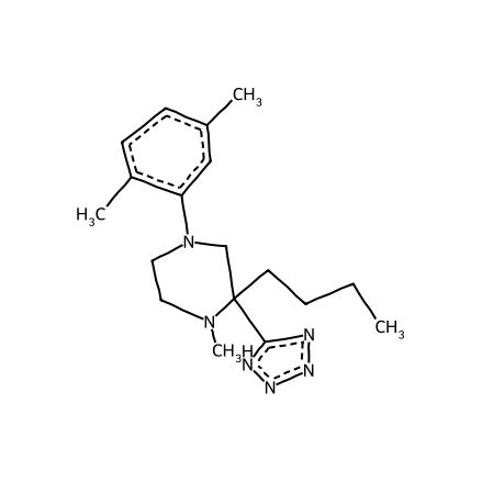 CCCCC1(c2nnn[nH]2)CN(c2cc(C)ccc2C)CCN1C